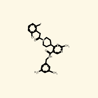 Cc1cc(C)cc(CNC(=O)c2cnc(C)nc2C2CCN(C(=O)Cc3c(F)cccc3C(F)(F)F)CC2)c1